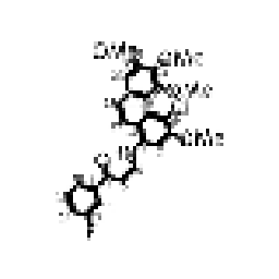 COc1cc(N/C=C\C(=O)c2cccc(F)c2)c(/C=C\c2cc(OC)c(OC)c(OC)c2)cc1Cl